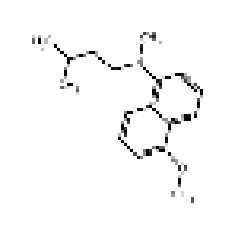 COc1cccc2c(N(C)CCC(C)C)cccc12